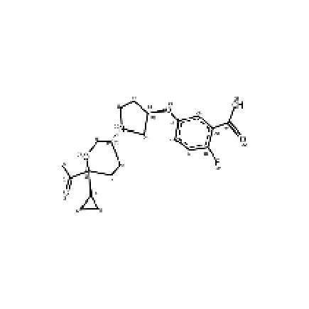 CC(=O)[C@@]1(C2CC2)CC[C@@H](N2CC[C@@H](Oc3ccc(F)c(C(=O)O)c3)C2)CO1